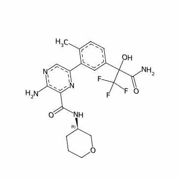 Cc1ccc(C(O)(C(N)=O)C(F)(F)F)cc1-c1cnc(N)c(C(=O)N[C@@H]2CCCOC2)n1